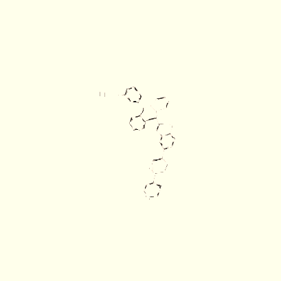 Cc1cccc(C2=c3ccccc3=C(C3=Cc4cc(C5=CNC(c6ccncc6)C=C5)ccc4CC3)C3C=CC=CC23)c1